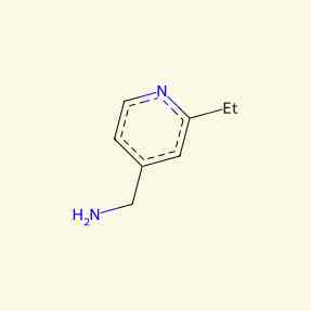 CCc1cc(CN)ccn1